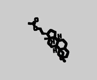 COC[C@]12CCCCC1CC[C@@H]1[C@@H]2CC[C@]2(C)[C@@H](CCOC(C)=O)CC[C@@H]12